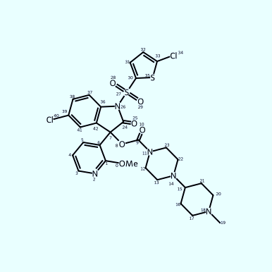 COc1ncccc1C1(OC(=O)N2CCN(C3CCN(C)CC3)CC2)C(=O)N(S(=O)(=O)c2ccc(Cl)s2)c2ccc(Cl)cc21